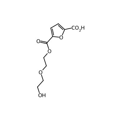 O=C(O)c1ccc(C(=O)OCCOCCO)o1